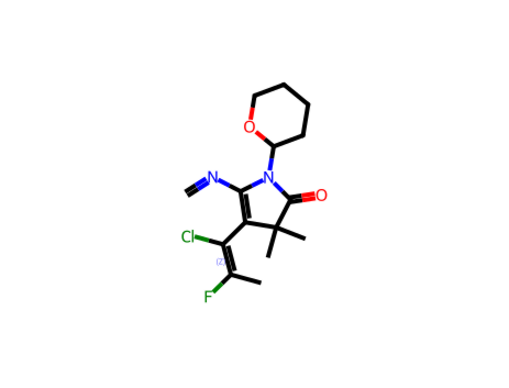 C=NC1=C(/C(Cl)=C(\C)F)C(C)(C)C(=O)N1C1CCCCO1